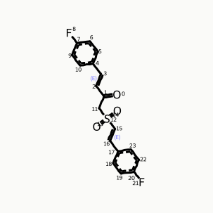 O=C(/C=C/c1ccc(F)cc1)CS(=O)(=O)/C=C/c1ccc(F)cc1